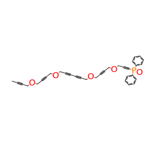 CC#CCOCC#CCOCC#CC#CCOCC#CCOCC#CP(=O)(c1ccccc1)c1ccccc1